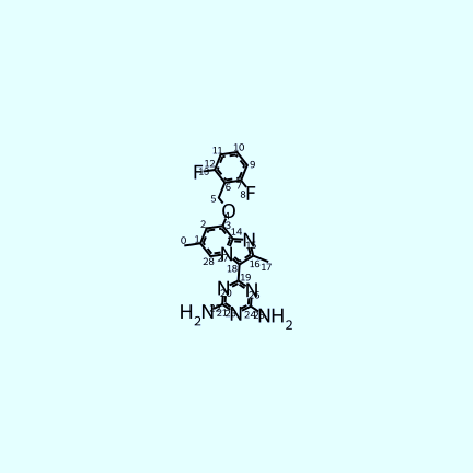 Cc1cc(OCc2c(F)cccc2F)c2nc(C)c(-c3nc(N)nc(N)n3)n2c1